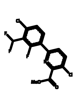 COC(=O)c1nc(-c2ccc(Cl)c(C(F)F)c2F)ccc1Cl